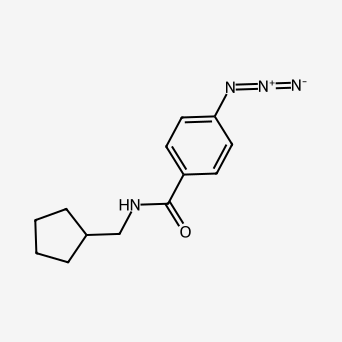 [N-]=[N+]=Nc1ccc(C(=O)NCC2CCCC2)cc1